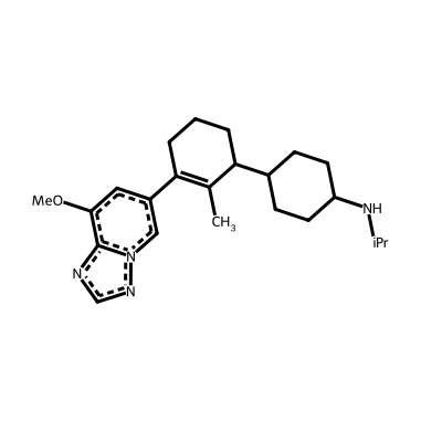 COc1cc(C2=C(C)C(C3CCC(NC(C)C)CC3)CCC2)cn2ncnc12